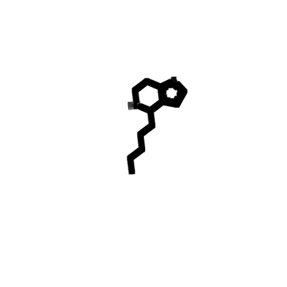 CCCCCC1NCCc2sccc21